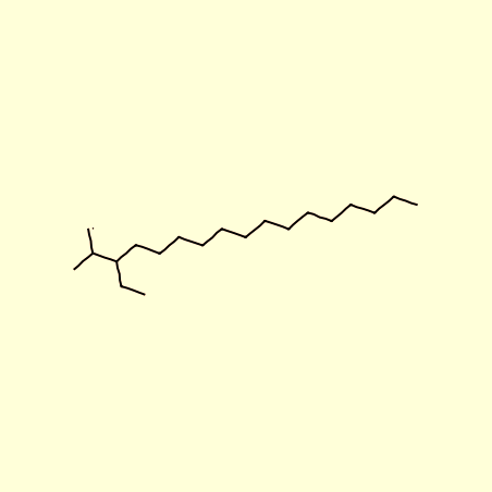 [CH2]C(C)C(CC)CCCCCCCCCCCCCC